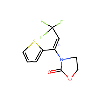 O=C1OCCN1/C(=C/C(F)(F)F)c1cccs1